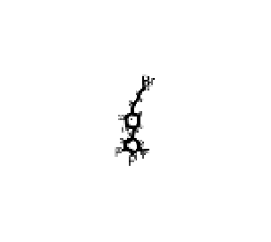 Fc1cc(C2CCC(CCCCBr)CC2)cc(F)c1F